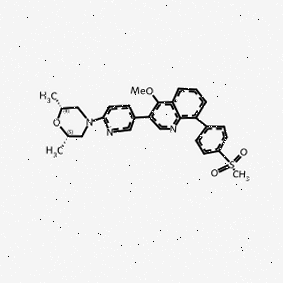 COc1c(-c2ccc(N3C[C@@H](C)O[C@@H](C)C3)nc2)cnc2c(-c3ccc(S(C)(=O)=O)cc3)cccc12